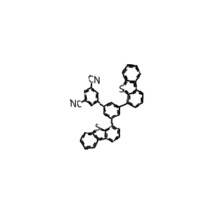 N#Cc1cc(C#N)cc(-c2cc(-c3cccc4c3sc3ccccc34)cc(-c3cccc4c3sc3ccccc34)c2)c1